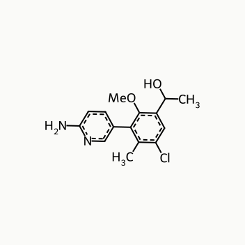 COc1c(C(C)O)cc(Cl)c(C)c1-c1ccc(N)nc1